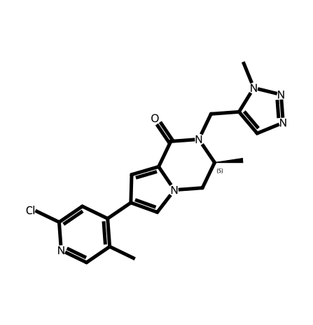 Cc1cnc(Cl)cc1-c1cc2n(c1)C[C@H](C)N(Cc1cnnn1C)C2=O